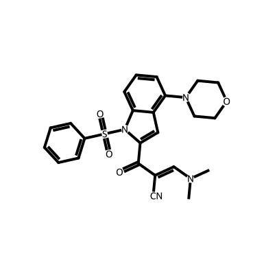 CN(C)C=C(C#N)C(=O)c1cc2c(N3CCOCC3)cccc2n1S(=O)(=O)c1ccccc1